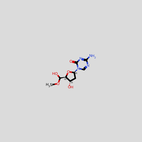 Nc1ncn([C@H]2C[C@H](O)[C@@H](C(O)O[SiH3])O2)c(=O)n1